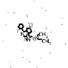 CCCN(CC)OCc1nnc2n1-c1ccc(Cl)cc1C(c1ccccc1F)=NC2